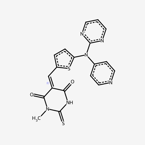 CN1C(=O)/C(=C/c2ccc(N(c3ccncc3)c3ncccn3)s2)C(=O)NC1=S